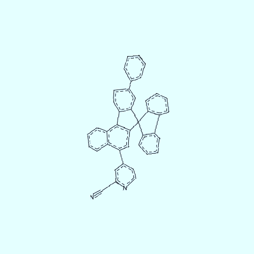 N#Cc1cc(-c2cc3c(c4ccccc24)-c2ccc(-c4ccccc4)cc2C32c3ccccc3-c3ccccc32)ccn1